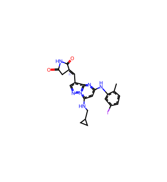 Cc1ccc(I)cc1Nc1cc(NCC2CC2)n2ncc(/C=C3\CC(=O)NC3=O)c2n1